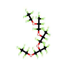 FC(F)(F)C(F)(F)OC(F)(F)C(F)(OC(F)(F)C(F)(OC(F)(F)C(F)(OC(F)(F)C(F)(F)F)C(F)(F)F)C(F)(F)F)C(F)(F)F